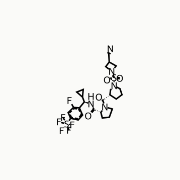 N#CC1CN(S(=O)(=O)N2CCC[C@H](C(=O)N3CCC[C@@H]3C(=O)N[C@@H](c3ccc(S(F)(F)(F)(F)F)cc3F)C3CC3)C2)C1